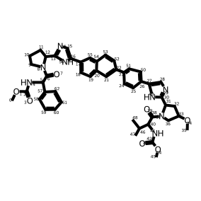 COC(=O)NC(C(=O)N1CCCC1c1ncc(-c2ccc3cc(-c4ccc(-c5cnc(C6CC(OC)CN6C(=O)C(NC(=O)OC)C(C)C)[nH]5)cc4)ccc3c2)[nH]1)c1ccccc1